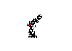 CCS(=O)(=O)/N=C(\Nc1cccc(C(=O)Nc2ccncc2)c1)N1CCN(c2ncnc3[nH]cc(C)c23)C[C@@H]1C